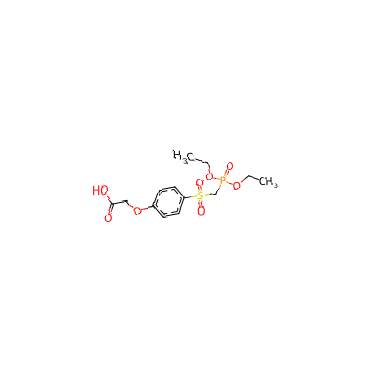 CCOP(=O)(CS(=O)(=O)c1ccc(OCC(=O)O)cc1)OCC